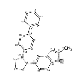 Cc1nc2cc([C@H]3CCCN3c3ccc(-c4ccccc4)cc3)ccc2[nH]1